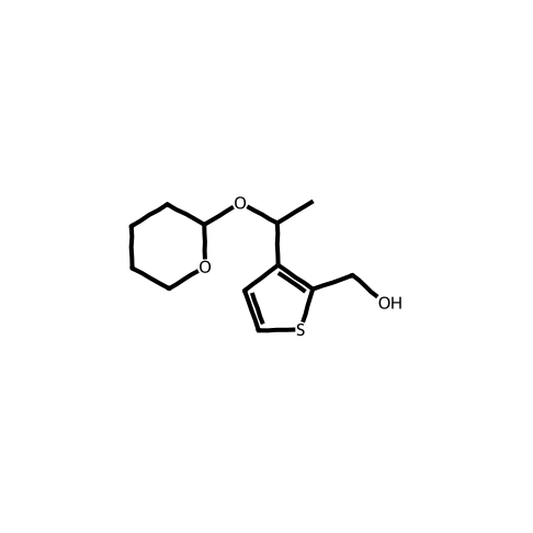 CC(OC1CCCCO1)c1ccsc1CO